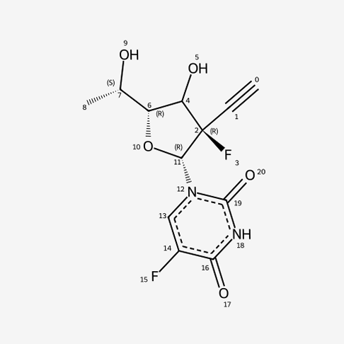 C#C[C@@]1(F)C(O)[C@@H]([C@H](C)O)O[C@H]1n1cc(F)c(=O)[nH]c1=O